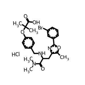 Cc1oc(-c2cccc(Br)c2)nc1CC(NCc1ccc(OC(C)(C)C(=O)O)cc1)C(=O)N(C)C.Cl